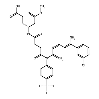 C=C(/N=C\C=C(/N)c1cccc(Cl)c1)N(C(=O)CCC(=O)N[C@H](CCC(=O)O)CC(=O)OC)c1ccc(C(F)(F)F)cc1